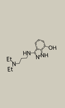 CCN(CC)CCCNc1n[nH]c2c(O)cccc12